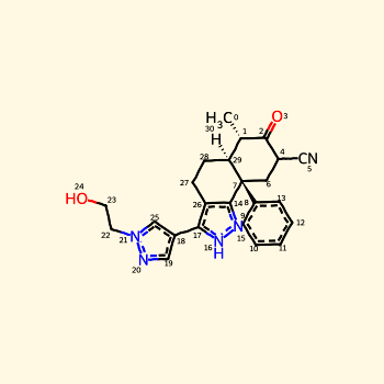 C[C@@H]1C(=O)C(C#N)C[C@]2(c3ccccc3)c3n[nH]c(-c4cnn(CCO)c4)c3CC[C@@H]12